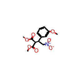 COC(=O)C(C(=O)OC)C(C[N+](=O)[O-])c1cccc(OC)c1